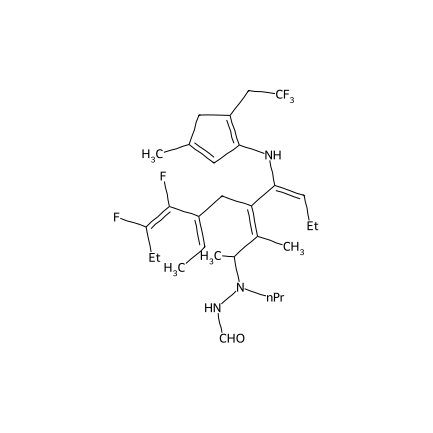 C/C=C(CC(/C(=C\CC)NC1=C(CC(F)(F)F)CC(C)=C1)=C(/C)C(C)N(CCC)NC=O)\C(F)=C(\F)CC